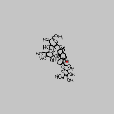 C=C1C[C@@]23CC[C@H]4[C@@](C)(CCC[C@@]4(C)C(=O)O[C@@H]4OC(CO)[C@@H](O)C(O)C4O)[C@@H]2CC[C@]1(OC1O[C@H](CO)C(O)C(O)[C@H]1O[C@@H]1OC(CO)[C@@H](O)C(O)C1O)C3